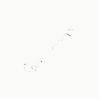 CC(F)(F)C(=O)OCCCCCCCCC(=O)OC1(C)C2CC3CC(C2)CC1C3